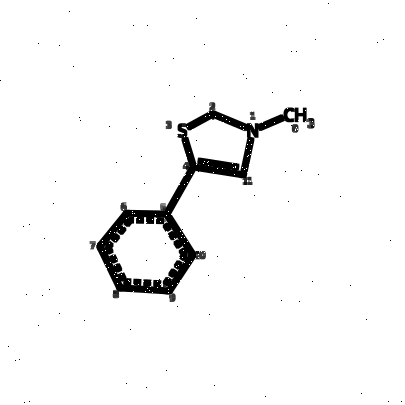 CN1[CH]SC(c2ccccc2)=C1